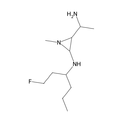 CCCC(CCF)NC1C(C(C)N)N1C